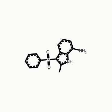 Cc1[nH]c2c(N)cccc2c1S(=O)(=O)c1ccccc1